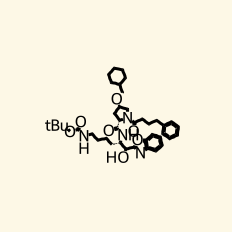 CC(C)(C)OC(=O)NCCCC[C@H](NC(=O)[C@@H]1C[C@@H](OCC2CCCCC2)CN1C(=O)CCCc1ccccc1)C(O)c1nc2ccccc2o1